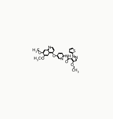 CCOc1cnn(-c2cccs2)c1C(=O)Nc1ccc(Oc2ccnc3cc(OC)c(OC)cc23)cn1